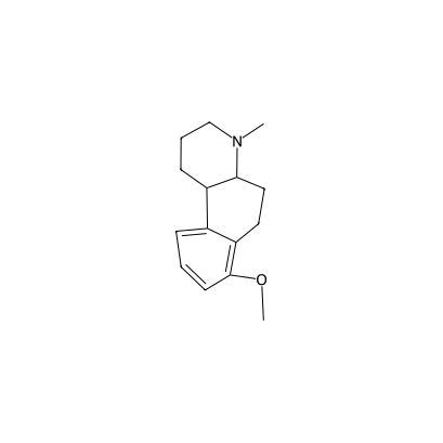 COc1cccc2c1CCC1C2CCCN1C